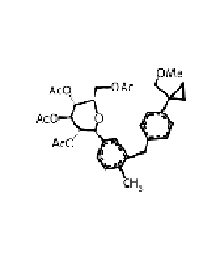 COCC1(c2ccc(Cc3cc([C@@H]4O[C@H](COC(C)=O)[C@@H](OC(C)=O)[C@H](OC(C)=O)[C@H]4OC(C)=O)ccc3C)cc2)CC1